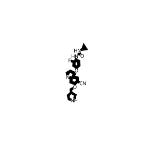 N#Cc1cc2c(Oc3ccc(NC(=O)NC4CC4)c(F)c3)ccnc2cc1OCC1CCNCC1